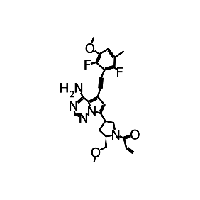 C=CC(=O)N1CC(c2cc(C#Cc3c(F)c(C)cc(OC)c3F)c3c(N)ncnn23)C[C@@H]1COC